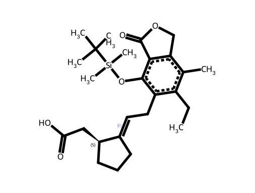 CCc1c(C)c2c(c(O[Si](C)(C)C(C)(C)C)c1C/C=C1\CCC[C@H]1CC(=O)O)C(=O)OC2